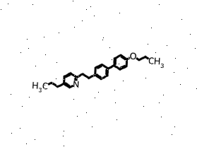 CCCOc1ccc(-c2ccc(CCc3ccc(CCC)cn3)cc2)cc1